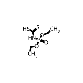 CCOP(=O)(NC(=S)S)OCC